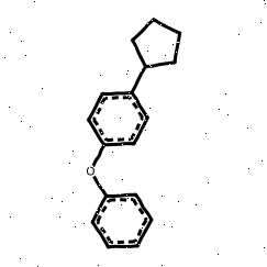 c1ccc(Oc2ccc(C3CCCC3)cc2)cc1